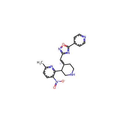 Cc1ccc([N+](=O)[O-])c(C2CNCC/C2=C\c2noc(-c3ccncc3)n2)n1